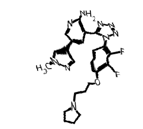 Cn1cc(-c2cnc(N)c(-c3nnnn3-c3ccc(OCCCN4CCCC4)c(F)c3F)c2)cn1